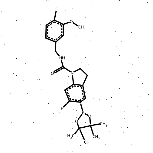 COc1cc(CNC(=O)N2CCc3cc(B4OC(C)(C)C(C)(C)O4)c(F)cc32)ccc1F